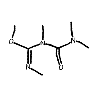 C/N=C(/OC)N(C)C(=O)N(C)C